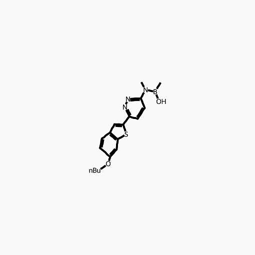 CCCCOc1ccc2cc(-c3ccc(N(C)B(C)O)nn3)sc2c1